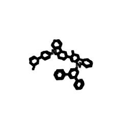 CC1CC=CC(C2C=CC(N3C4=C(C=CCC4)C4C=C(C5=CC6=C(CC5C)C5C=CC=CC5N6C5=CC(c6ccccc6)=CC(c6ccccc6)C5)C=CC43)=CC2)C1